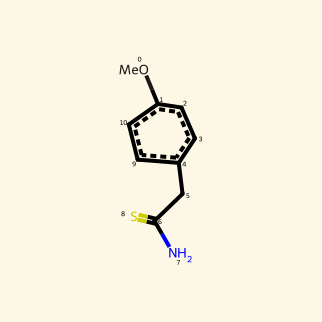 COc1ccc(CC(N)=S)cc1